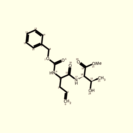 C=CCC(NC(=O)OCc1ccccc1)C(=O)N[C@H](C(=O)OC)[C@@H](C)O